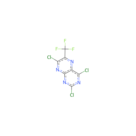 FC(F)(F)c1nc2c(Cl)nc(Cl)nc2nc1Cl